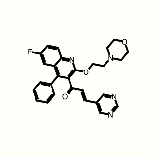 O=C(/C=C/c1cncnc1)c1c(OCCN2CCOCC2)nc2ccc(F)cc2c1-c1ccccc1